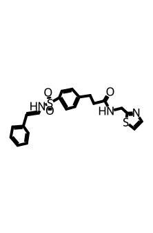 O=C(CCc1ccc(S(=O)(=O)NC=Cc2ccccc2)cc1)NCc1nccs1